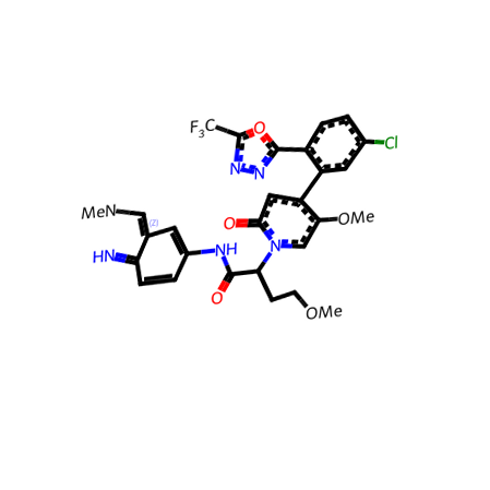 CN/C=C1/C=C(NC(=O)C(CCOC)n2cc(OC)c(-c3cc(Cl)ccc3-c3nnc(C(F)(F)F)o3)cc2=O)C=CC1=N